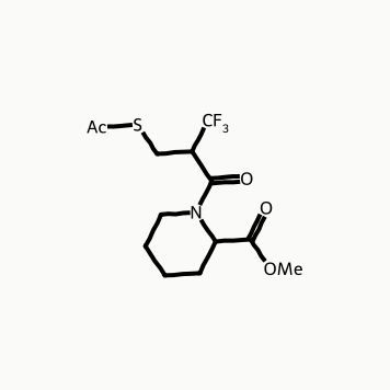 COC(=O)C1CCCCN1C(=O)C(CSC(C)=O)C(F)(F)F